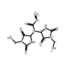 C=NC(=O)N(C1NC(=O)N(CO)C1=O)C1NC(=O)N(CO)C1=O